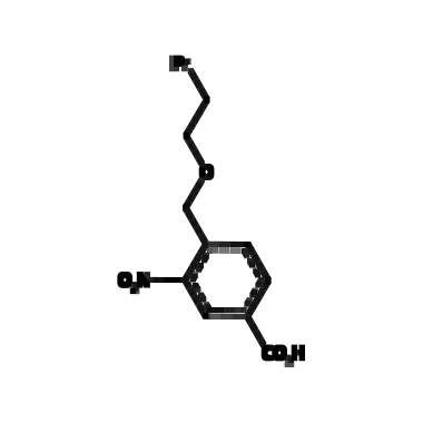 CC(C)CCOCc1ccc(C(=O)O)cc1[N+](=O)[O-]